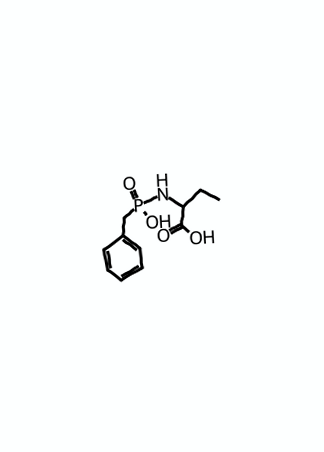 CCC(NP(=O)(O)Cc1ccccc1)C(=O)O